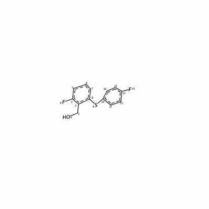 OCc1c(F)cccc1Sc1ccc(F)cc1